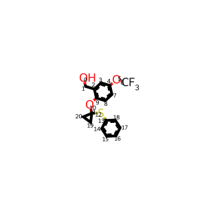 OCc1cc(OC(F)(F)F)ccc1OC1(Sc2ccccc2)CC1